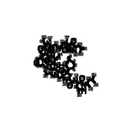 C=C1CCC/C(=C\CC(C(=O)N(C)C(CC(C)C)C(=O)NC(C)CC(C)C)N(C)C(=O)CN(CCCC)C(=O)C(COC[C@@H]2COCCN2)NC(=O)C(CC)N(C)C(=O)C(NC(=O)C(CC)N(C)C(=O)CN(C)C(=O)C[C@@H](C)NC(=O)C(CC(C)C)N(C)C=O)C(C)C)CC1